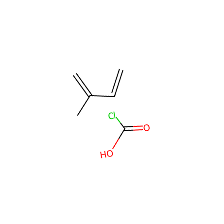 C=CC(=C)C.O=C(O)Cl